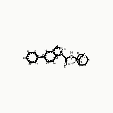 O=C(N[C@H]1CN2CCC1CC2)n1ncc2cc(-c3ccccc3)ccc21